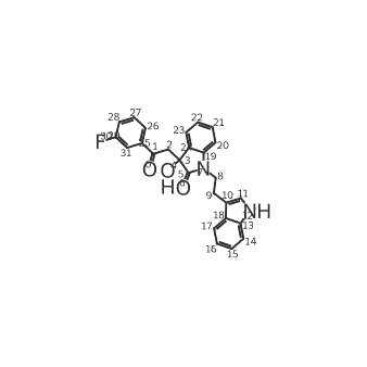 O=C(CC1(O)C(=O)N(CCc2c[nH]c3ccccc23)c2ccccc21)c1cccc(F)c1